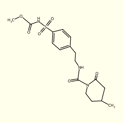 COC(=O)NS(=O)(=O)c1ccc(CCNC(=O)N2CCC(C)CC2=O)cc1